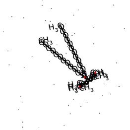 COCCOCCOCCOCCOCCOCCOCCOCCOCCOCCOCCSCCC[Si]1(CCCSCCOCCOCCOCCOCCOCCOCCOCCOCCOCCOCCOC)c2cc(B3OC(C)(C)C(C)(C)O3)ccc2-c2ccc(B3OC(C)(C)C(C)(C)O3)cc21